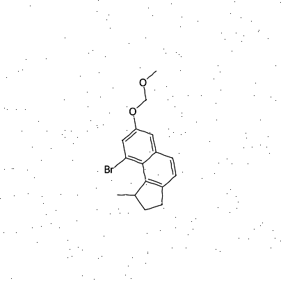 COCOc1cc(Br)c2c3c(ccc2c1)CCC3C